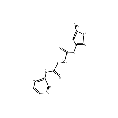 Nc1nc(CC(=O)NCC(=O)[N]c2ccccc2)cs1